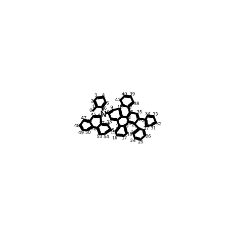 Cc1ccccc1N(c1ccc2c(c1)c1ccccc1c1c(-c3ccccc3)c(-c3ccccc3)cc(C3=CC=CCC3)c21)c1cc2ccccc2c2ccccc12